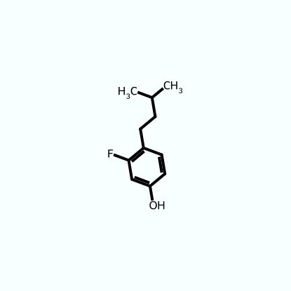 CC(C)CCc1ccc(O)cc1F